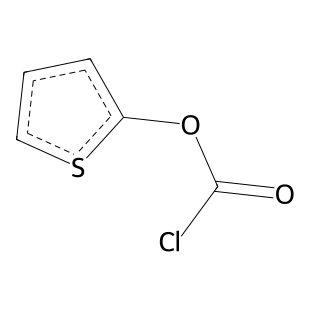 O=C(Cl)Oc1cccs1